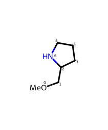 COCC1C[CH]CN1